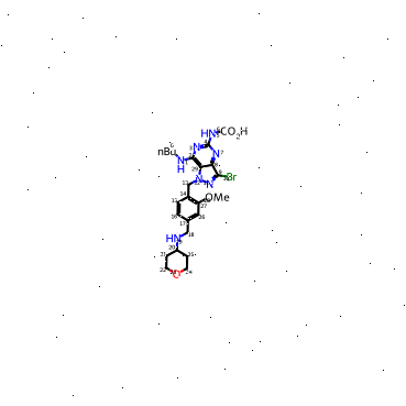 CCCCNc1nc(NC(=O)O)nc2c(Br)nn(Cc3ccc(CNC4CCOCC4)cc3OC)c12